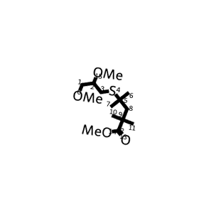 COCC(CSC(C)(C)CC(C)(C)C(=O)OC)OC